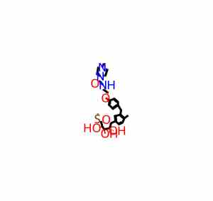 CS[C@H]1OC(c2ccc(C)c(Cc3ccc(OCCNC(=O)N4CCN(C)CC4)cc3)c2)[C@H](O)[C@@H](O)[C@@H]1O